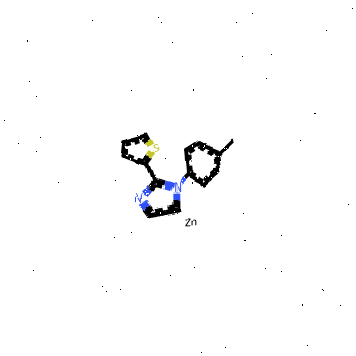 Cc1ccc(-n2ccnc2-c2cccs2)cc1.[Zn]